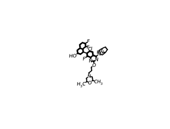 CC1CN(CCCOc2nc(N3CC4CCC(C3)N4)c3cc(Cl)c(-c4cc(O)cc5ccc(F)c(F)c45)c(F)c3n2)CC(C)O1